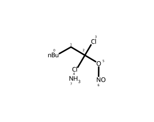 CCCCCC(Cl)(Cl)ON=O.N